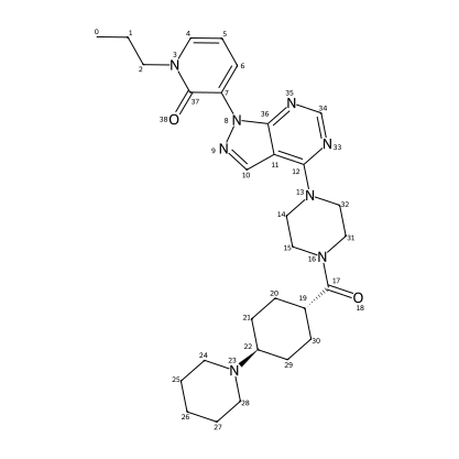 CCCn1cccc(-n2ncc3c(N4CCN(C(=O)[C@H]5CC[C@H](N6CCCCC6)CC5)CC4)ncnc32)c1=O